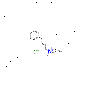 C=CC[N+](C)(C)CC=CCc1ccccc1.[Cl-]